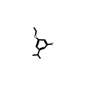 CCOc1cc(F)cc([C](C)C)c1